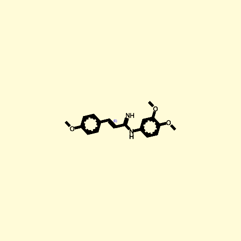 COc1ccc(/C=C/C(=N)Nc2ccc(OC)c(OC)c2)cc1